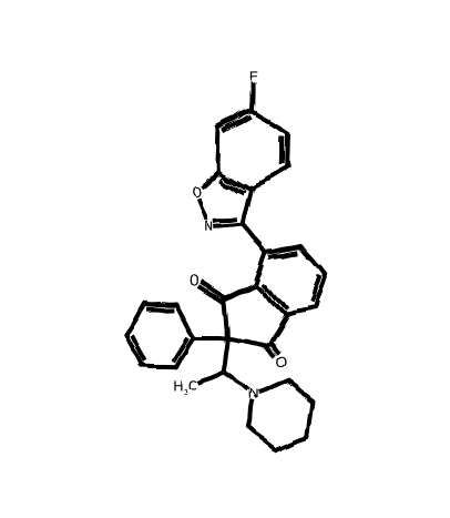 CC(N1CCCCC1)C1(c2ccccc2)C(=O)c2cccc(-c3noc4cc(F)ccc34)c2C1=O